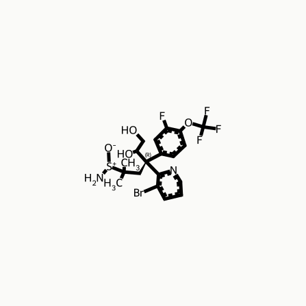 CC(C)(C[C@@](c1ccc(OC(F)(F)F)c(F)c1)(c1ncccc1Br)C(O)CO)[S+](N)[O-]